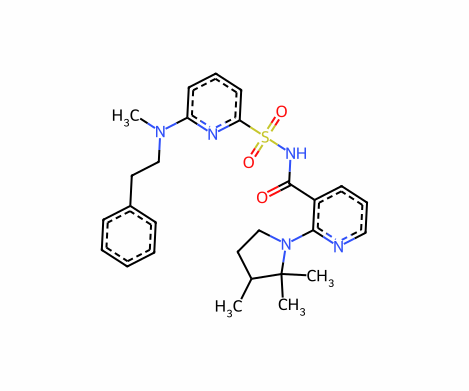 CC1CCN(c2ncccc2C(=O)NS(=O)(=O)c2cccc(N(C)CCc3ccccc3)n2)C1(C)C